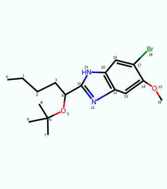 CCCCC(OC(C)(C)C)c1nc2cc(OC)c(Br)cc2[nH]1